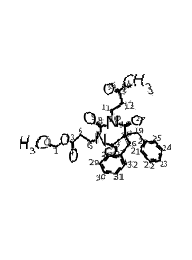 CCOC(=O)CCN1C(=O)N(CCC(C)=O)C(=O)C(Cc2ccccc2)(Cc2ccccc2)C1=O